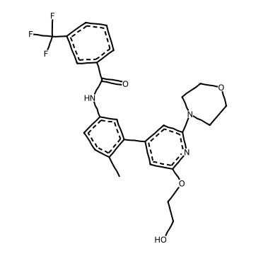 Cc1ccc(NC(=O)c2cccc(C(F)(F)F)c2)cc1-c1cc(OCCO)nc(N2CCOCC2)c1